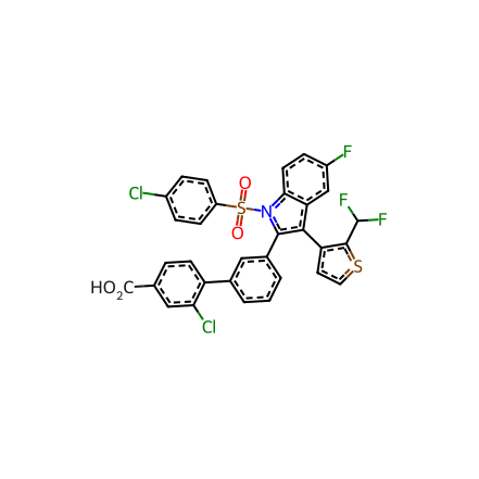 O=C(O)c1ccc(-c2cccc(-c3c(-c4ccsc4C(F)F)c4cc(F)ccc4n3S(=O)(=O)c3ccc(Cl)cc3)c2)c(Cl)c1